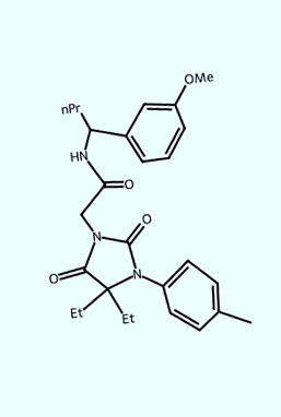 CCCC(NC(=O)CN1C(=O)N(c2ccc(C)cc2)C(CC)(CC)C1=O)c1cccc(OC)c1